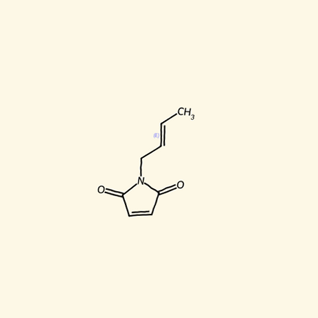 C/C=C/CN1C(=O)C=CC1=O